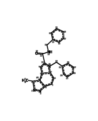 Cc1nnc2ccc3c(cc(C(=O)NCc4ccccc4)n3Cc3ccccc3)n12